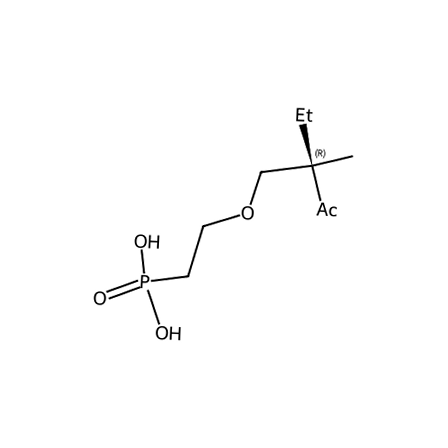 CC[C@](C)(COCCP(=O)(O)O)C(C)=O